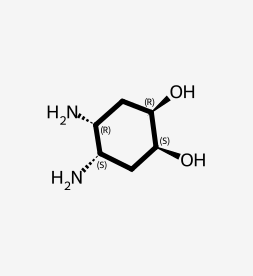 N[C@@H]1C[C@@H](O)[C@@H](O)C[C@@H]1N